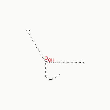 CCCCC/C=C\C/C=C\CCCCCCC(CCCCCCCCCCCCCCCCCC(C)C)(CCCCCCCCCCCCCCCCCC(C)C)C(=O)O